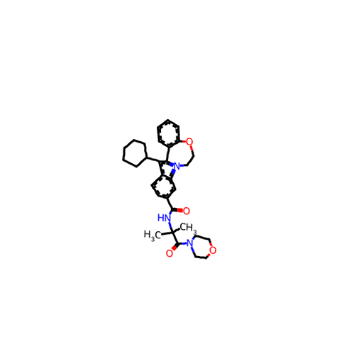 CC(C)(NC(=O)c1ccc2c(C3CCCCC3)c3n(c2c1)CCOc1ccccc1-3)C(=O)N1CCOCC1